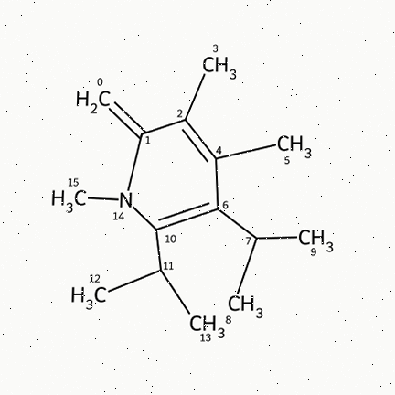 C=C1C(C)=C(C)C(C(C)C)=C(C(C)C)N1C